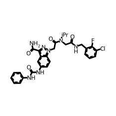 CC(C)N(CC(=O)NCc1cccc(Cl)c1F)C(=O)Cn1nc(C(N)=O)c2cc(NC(=O)Nc3ccccc3)ccc21